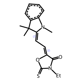 CCN1C(=O)/C(=C/C=C2\N(C)c3ccccc3C2(C)C)OC1=S